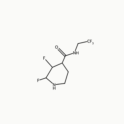 O=C(NCC(F)(F)F)C1CCNC(F)C1F